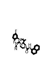 CC(C)C1CN(C(=O)Nc2cccc3ccccc23)CCN1/C(=N\C#N)Nc1cc(F)ccc1F